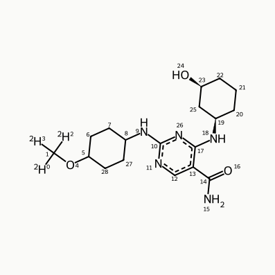 [2H]C([2H])([2H])OC1CCC(Nc2ncc(C(N)=O)c(N[C@@H]3CCC[C@H](O)C3)n2)CC1